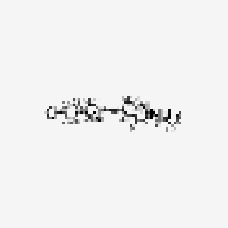 Cc1cc(NCC2CCCC2)nc2ccc(C#Cc3ccc(-c4ccc(Cl)cc4)cn3)cc12